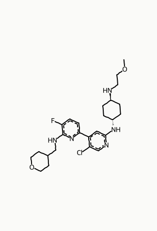 COCCN[C@H]1CC[C@H](Nc2cc(-c3ccc(F)c(NCC4CCOCC4)n3)c(Cl)cn2)CC1